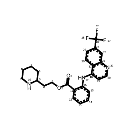 O=C(OCCC1CCCCN1)c1ccccc1Nc1ccnc2cc(C(F)(F)F)ccc12